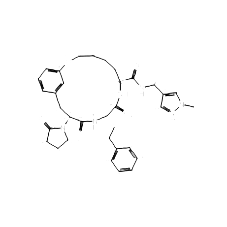 Cn1cc(CNC(=O)[C@@H]2CCCCOc3cccc(c3)C[C@H](N3CCCC3=O)C(=O)N[C@@H](CCc3ccccc3)C(=O)N2)cn1